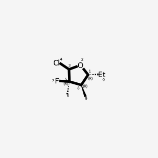 CC[C@H]1OC(Cl)[C@](C)(F)[C@@H]1C